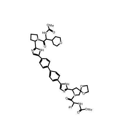 COC(=O)NC(C(=O)N1CC2(CC1c1ncc(-c3ccc(-c4ccc(-c5cnc(C6CCCN6C(=O)C(NC(=O)OC)C6CCOCC6)[nH]5)cc4)cc3)[nH]1)OCCO2)C(C)C